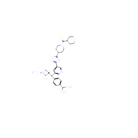 CC(C)c1ccc([C@](O)(c2cncc(-c3noc(C4CCN(C(=O)C5CCOCC5)CC4)n3)c2)C2(C)CN(C)C2)cc1